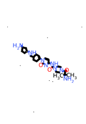 CC(C)(N)C(=O)N1CCN(C(=O)Nc2ccn(C3=CCC(CNC4CCC(N)C4)CC3)c(=O)n2)CC1